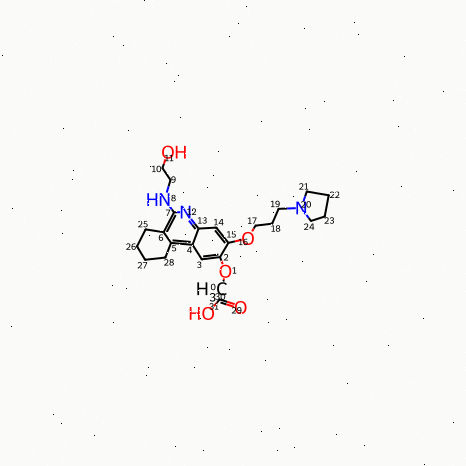 COc1cc2c3c(c(NCCO)nc2cc1OCCCN1CCCC1)CCCC3.O=CO